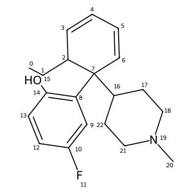 CCC1C=CC=CC1(c1cc(F)ccc1O)C1CCN(C)CC1